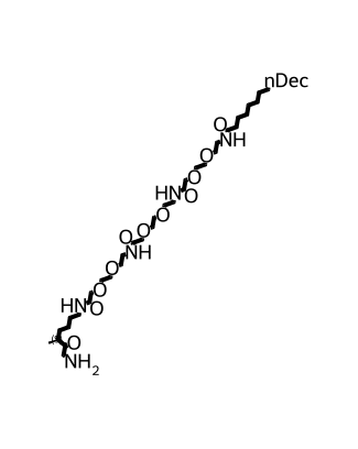 CCCCCCCCCCCCCCCCCC(=O)NCCOCCOCC(=O)NCCOCCOCC(=O)NCCOCCOCC(=O)NCCCC[C@H](C)C(=O)CN